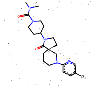 CN(C)C(=O)N1CCC(N2CC[C@@]3(CCCN(c4ccc(C(F)(F)F)cn4)C3)C2=O)CC1